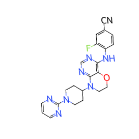 N#Cc1ccc(Nc2ncnc3c2OCCN3C2CCN(c3ncccn3)CC2)c(F)c1